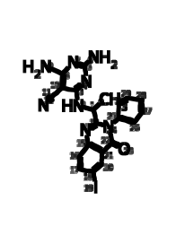 CC(Nc1nc(N)nc(N)c1C#N)c1nc2ccc(I)cc2c(=O)n1-c1ccccc1